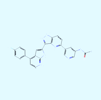 CC(C)C(=O)Nc1cncc(-c2ccc3[nH]nc(-c4cc5c(-c6ccc(F)cc6)ccnc5[nH]4)c3n2)c1